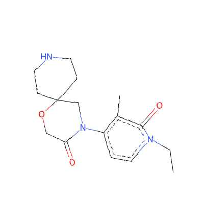 CCn1ccc(N2CC3(CCNCC3)OCC2=O)c(C)c1=O